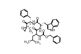 CC(C)CC(NC(=O)OCc1ccccc1)C(=O)N[C@@H](Cc1c[nH]c2ccccc12)C(=O)N[C@@H](Cc1ccccc1)C(=O)[C@@]1(C)CO1